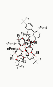 CCCCCc1ccc(OP(Oc2ccc(CCCCC)c(-c3ccc(C(C)(C)CC)cc3C(C)(C)CC)c2-c2ccc(C(C)(C)CC)cc2C(C)(C)CC)Oc2ccc(CCCCC)c(-c3ccc(C(C)(C)CC)cc3C(C)(C)CC)c2-c2ccc(C(C)(C)CC)cc2C(C)(C)CC)c(-c2ccc(C(C)(C)CC)cc2C(C)(C)CC)c1-c1ccc(C(C)(C)CC)cc1C(C)(C)CC